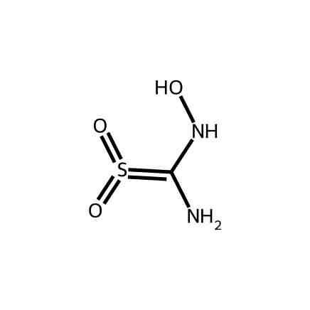 NC(NO)=S(=O)=O